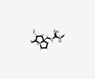 CNC(=N)OC[C@@]12CCCN1C(C)[C@H](F)C2